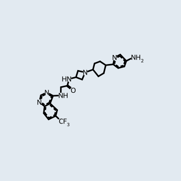 Nc1ccc(C2CCC(N3CC(NC(=O)CNc4ncnc5ccc(C(F)(F)F)cc45)C3)CC2)nc1